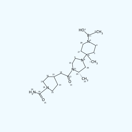 CB(O)N1CCC(C)(N2CCN(C(=O)CC3CCN(C(N)=O)CC3)[C@@H](C)C2)CC1